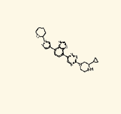 c1nc2c(-c3cnn(C4CCCCO4)c3)ccc(-c3cnc(N4CCNC(C5CC5)C4)nn3)c2s1